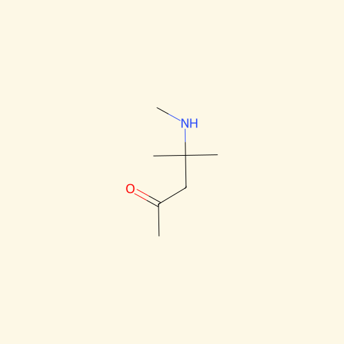 CNC(C)(C)CC(C)=O